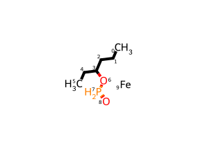 CCCC(CC)O[PH2]=O.[Fe]